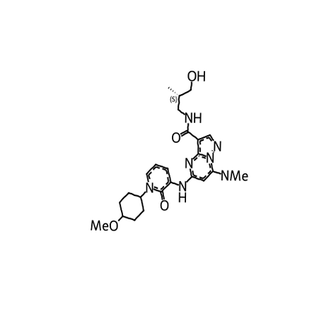 CNc1cc(Nc2cccn(C3CCC(OC)CC3)c2=O)nc2c(C(=O)NC[C@H](C)CO)cnn12